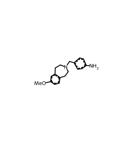 COc1ccc2c(c1)CCN(Cc1ccc(N)cc1)CC2